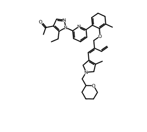 C=C/C(=C\C1=C(C)CN(CC2CCCCO2)C1)COC1=C(C)CCC=C1c1cccc(-n2ncc(C(C)=O)c2CC)n1